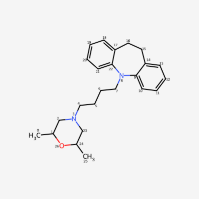 CC1CN(CCCCN2c3ccccc3CCc3ccccc32)CC(C)O1